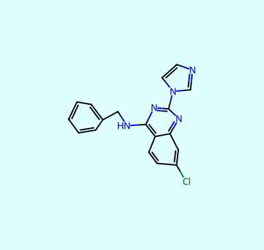 Clc1ccc2c(NCc3ccccc3)nc(-n3ccnc3)nc2c1